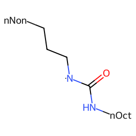 CCCCCCCCCCCC[N]C(=O)NCCCCCCCC